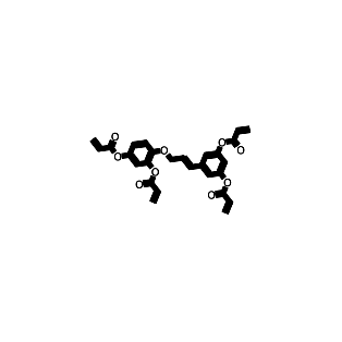 C=CC(=O)Oc1cc(/C=C/COc2ccc(OC(=O)C=C)cc2OC(=O)C=C)cc(OC(=O)C=C)c1